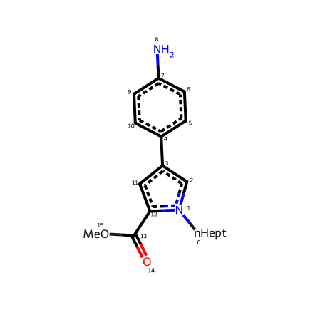 CCCCCCCn1cc(-c2ccc(N)cc2)cc1C(=O)OC